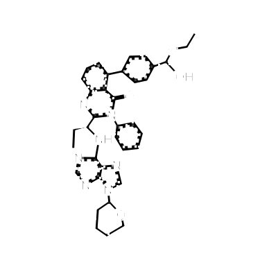 CCOC(O)c1ccc(-c2cccc3nc([C@H](CC)Nc4ncnc5c4ncn5C4CCCCO4)n(-c4ccccc4)c(=O)c23)cc1